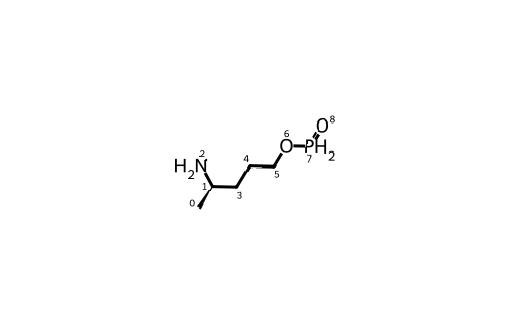 C[C@@H](N)CCCO[PH2]=O